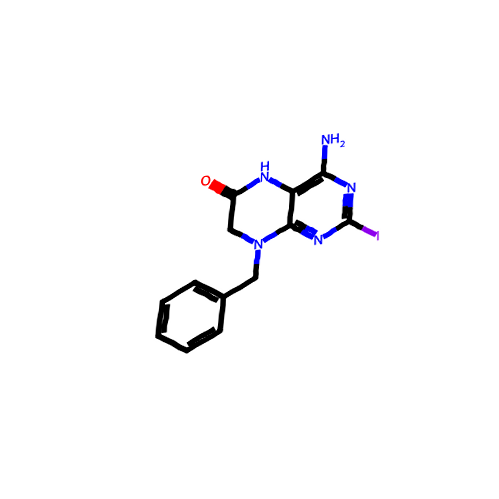 Nc1nc(I)nc2c1NC(=O)CN2Cc1ccccc1